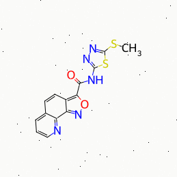 CSc1nnc(NC(=O)c2onc3c2ccc2cccnc23)s1